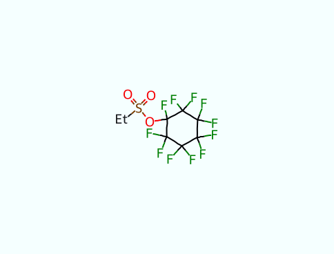 CCS(=O)(=O)OC1(F)C(F)(F)C(F)(F)C(F)(F)C(F)(F)C1(F)F